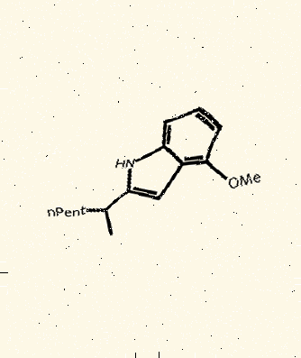 CCCCCC(C)c1cc2c(OC)cccc2[nH]1